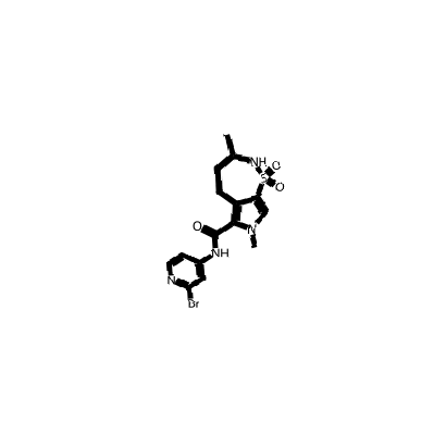 CC1CCc2c(cn(C)c2C(=O)Nc2ccnc(Br)c2)S(=O)(=O)N1